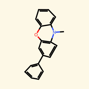 CN1c2ccccc2Oc2cc(-c3ccccc3)ccc21